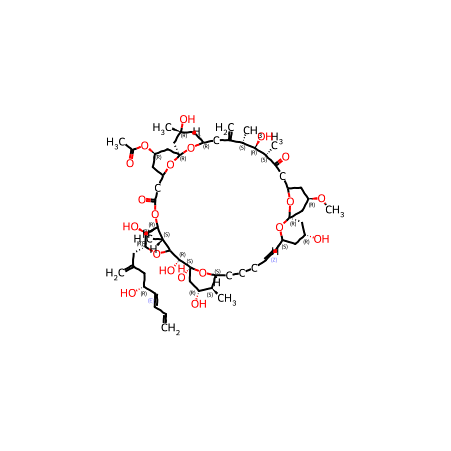 C=C/C=C/[C@H](O)CC(=C)C[C@H]1OC2[C@@H](O)[C@]3(O)C[C@@H](O)[C@H](C)[C@H](CCC/C=C\[C@@H]4C[C@@H](O)C[C@]5(C[C@H](OC)CC(CC(=O)[C@@H](C)[C@H](O)[C@@H](C)C(=C)C[C@@H]6C[C@@](C)(O)C[C@]7(C[C@H](OC(C)=O)CC(CC(=O)O[C@@H]([C@@H]1O)[C@H]2C)O7)O6)O5)O4)O3